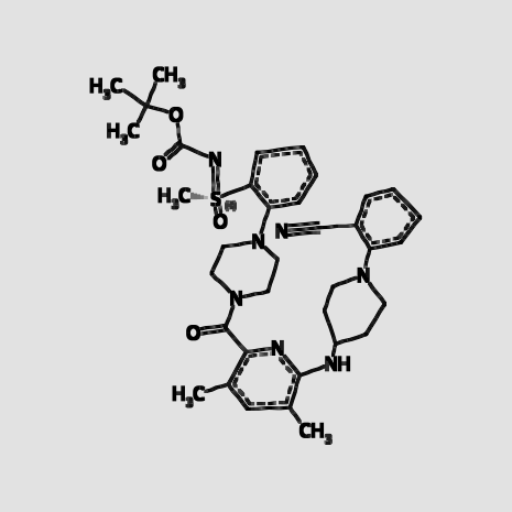 Cc1cc(C)c(C(=O)N2CCN(c3ccccc3[S@@](C)(=O)=NC(=O)OC(C)(C)C)CC2)nc1NC1CCN(c2ccccc2C#N)CC1